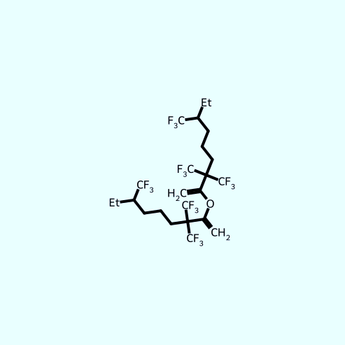 C=C(OC(=C)C(CCCC(CC)C(F)(F)F)(C(F)(F)F)C(F)(F)F)C(CCCC(CC)C(F)(F)F)(C(F)(F)F)C(F)(F)F